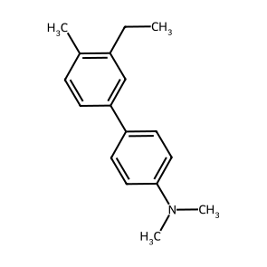 CCc1cc(-c2ccc(N(C)C)cc2)ccc1C